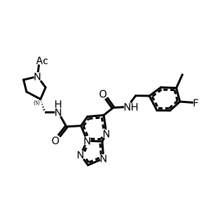 CC(=O)N1CC[C@@H](CNC(=O)c2cc(C(=O)NCc3ccc(F)c(C)c3)nc3ncnn23)C1